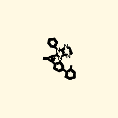 C=C1C2(C)c3ccc(-c4ccccc4C)cc3N3c4nccnc4N(c4ccccc4)C3C12C